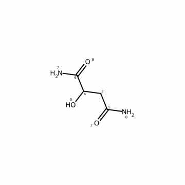 NC(=O)CC(O)C(N)=O